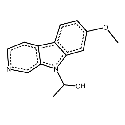 COc1ccc2c3ccncc3n(C(C)O)c2c1